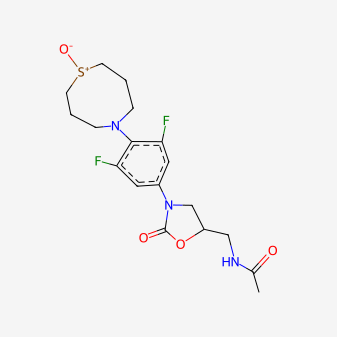 CC(=O)NCC1CN(c2cc(F)c(N3CCC[S+]([O-])CCC3)c(F)c2)C(=O)O1